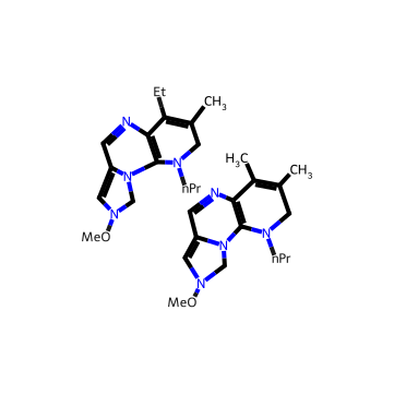 CCCN1CC(C)=C(C)C2=C1N1CN(OC)C=C1C=N2.CCCN1CC(C)=C(CC)C2=C1N1CN(OC)C=C1C=N2